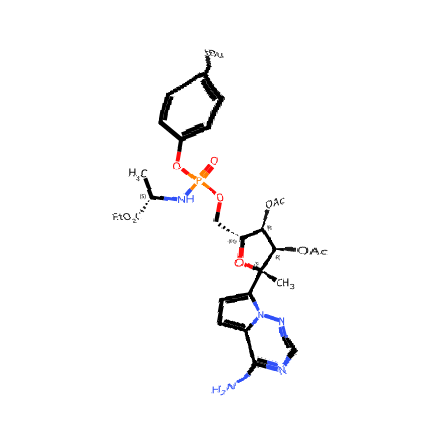 CCOC(=O)[C@H](C)NP(=O)(OC[C@H]1O[C@@](C)(c2ccc3c(N)ncnn23)[C@H](OC(C)=O)[C@@H]1OC(C)=O)Oc1ccc(C(C)(C)C)cc1